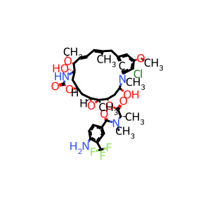 COc1cc2cc(c1Cl)N(C)C(O)C[C@H](OC(=O)[C@H](C)N(C)C(=O)c1ccc(N)c(C(F)(F)F)c1)[C@]1(C)O[C@H]1C[C@@H]1C[C@@](O)(NC(=O)O1)[C@H](OC)/C=C/C=C(\C)C2